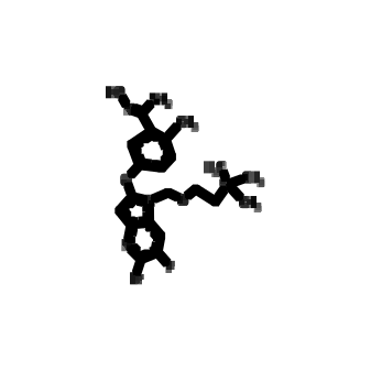 Cc1ccc(Oc2cc3nc(Br)c(F)cc3n2COCC[Si](C)(C)C)cc1/C(N)=N/O